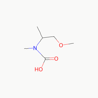 COCC(C)N(C)C(=O)O